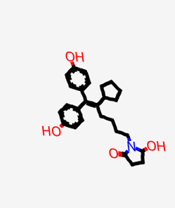 O=C1CCC(O)N1CCCCC(=C(c1ccc(O)cc1)c1ccc(O)cc1)C1CCCC1